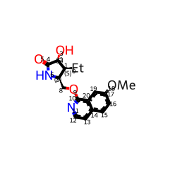 CC[C@@H]1[C@H](O)C(=O)N[C@@H]1COc1nccc2ccc(OC)cc12